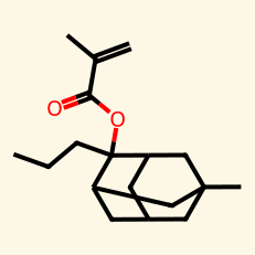 C=C(C)C(=O)OC1(CCC)C2CC3CC1CC(C)(C3)C2